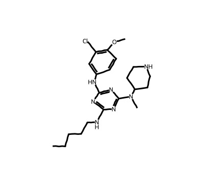 CCCCCNc1nc(Nc2ccc(OC)c(Cl)c2)nc(N(C)C2CCNCC2)n1